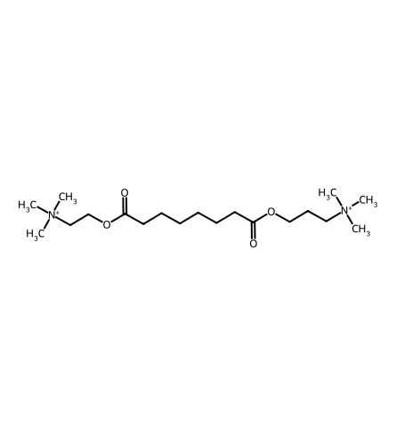 C[N+](C)(C)CCCOC(=O)CCCCCCC(=O)OCC[N+](C)(C)C